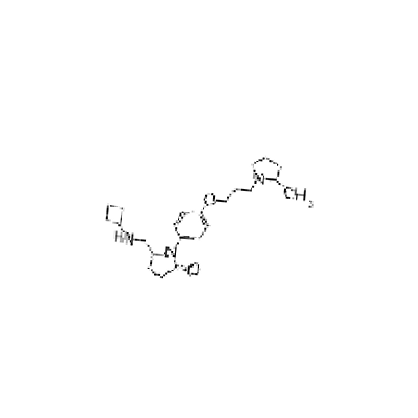 CC1CCCN1CCCOc1ccc(N2C(=O)CCC2CNC2CCC2)cc1